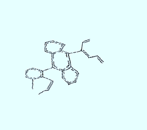 C=C/C=C(\C=C)c1c2ccccc2c(-c2cccc(C)c2/C=C\C)c2ccccc12